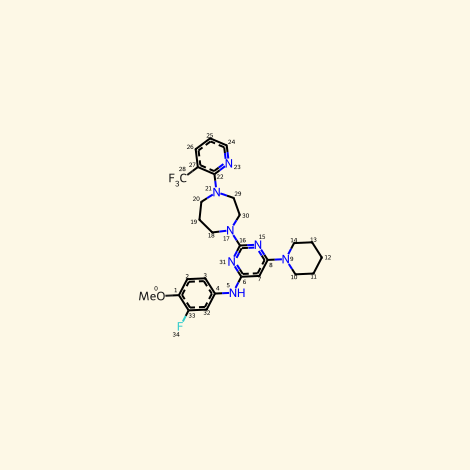 COc1ccc(Nc2cc(N3CCCCC3)nc(N3CCCN(c4ncccc4C(F)(F)F)CC3)n2)cc1F